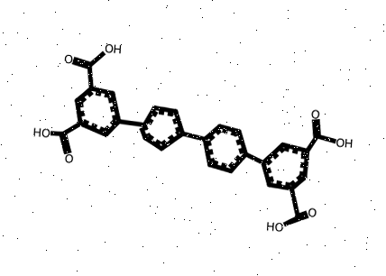 O=C(O)c1cc(C(=O)O)cc(-c2ccc(-c3ccc(-c4cc(C(=O)O)cc(C(=O)O)c4)cc3)cc2)c1